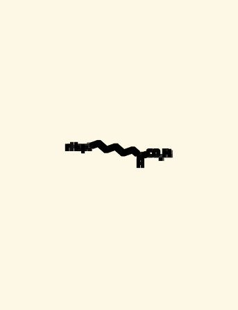 CCCCCCCCCCCCNC(=O)OCC